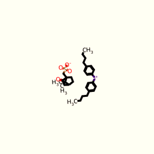 CC1(C)C2CCC1(CS(=O)(=O)[O-])C(=O)C2.CCCCc1ccc([I+]c2ccc(CCCC)cc2)cc1